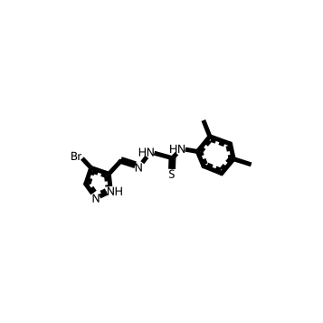 Cc1ccc(NC(=S)N/N=C/c2[nH]ncc2Br)c(C)c1